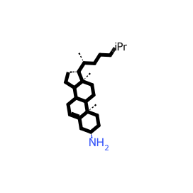 CC(C)CCC[C@@H](C)[C@H]1CCC2C3CC=C4C[C@@H](N)CC[C@]4(C)C3CC[C@@]21C